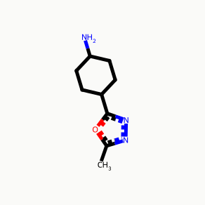 Cc1nnc(C2CCC(N)CC2)o1